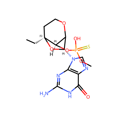 CC[C@@]12CCOC([C@H](n3cnc4c(=O)[nH]c(N)nc43)O1)[C@H]2OP(O)(=S)OC